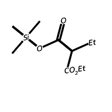 CCOC(=O)C(CC)C(=O)O[Si](C)(C)C